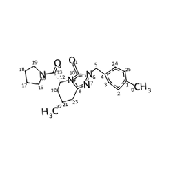 Cc1ccc(Cn2nc3n(c2=O)[C@@H](C(=O)N2CCCC2)C[C@@H](C)C3)cc1